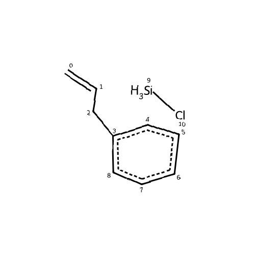 C=CCc1ccccc1.[SiH3]Cl